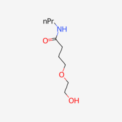 CCCNC(=O)CCCOCCO